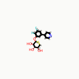 O[C@@H]1[C@@H](O)[C@@H](Oc2cc(-c3ccncc3)cc(F)c2F)SC[C@H]1O